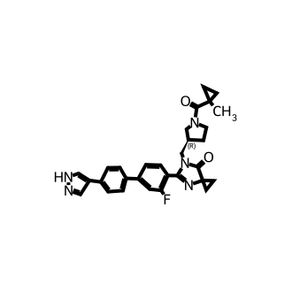 CC1(C(=O)N2CC[C@@H](CN3C(=O)C4(CC4)N=C3c3ccc(-c4ccc(-c5cn[nH]c5)cc4)cc3F)C2)CC1